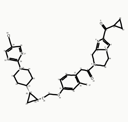 O=C(c1cn2c(n1)CN(C(=O)Cc1ccc(OCC[C@@H]3C[C@@H]3C3CCN(c4ncc(Cl)cn4)CC3)cc1I)CC2)C1CC1